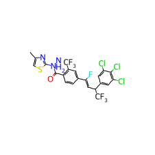 Cc1csc(N(N)C(=O)c2ccc(C(F)=CC(c3cc(Cl)c(Cl)c(Cl)c3)C(F)(F)F)cc2C(F)(F)F)n1